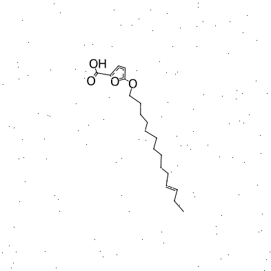 CCC=CCCCCCCCCCCOc1ccc(C(=O)O)o1